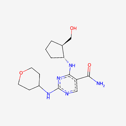 NC(=O)c1cnc(NC2CCOCC2)nc1N[C@@H]1CCC[C@H]1CO